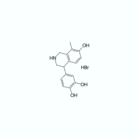 Br.Cc1c(O)ccc2c1CNCC2c1ccc(O)c(O)c1